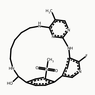 Cc1cnc2nc1NCCCCCNC(O)c1ccc(c(S(C)(=O)=O)c1)-c1cnc(F)c(c1)N2